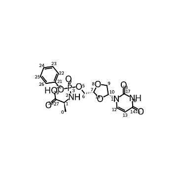 C[C@H](NP(=O)(OC[C@@H]1OC[C@H](n2ccc(=O)[nH]c2=O)O1)Oc1ccccc1)C(=O)O